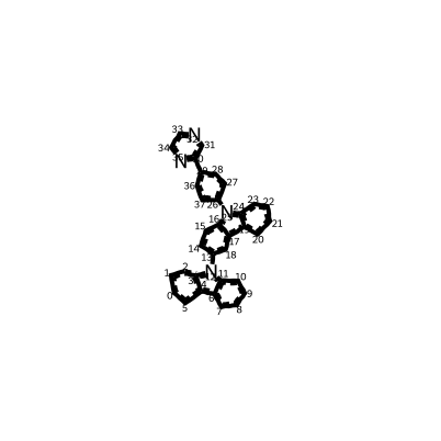 c1ccc2c(c1)c1ccccc1n2-c1ccc2c(c1)c1ccccc1n2-c1ccc(-c2cnccn2)cc1